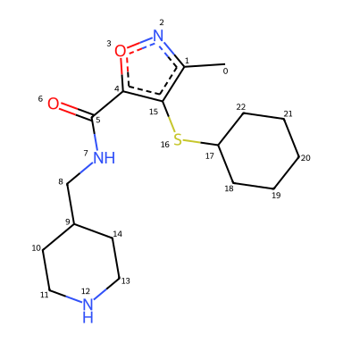 Cc1noc(C(=O)NCC2CCNCC2)c1SC1CCCCC1